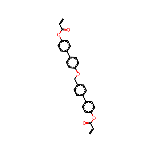 C=CC(=O)Oc1ccc(-c2ccc(COc3ccc(-c4ccc(OC(=O)C=C)cc4)cc3)cc2)cc1